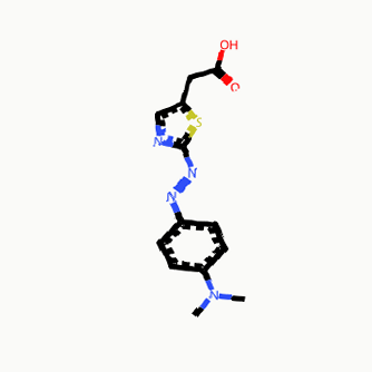 CN(C)c1ccc(N=Nc2ncc(CC(=O)O)s2)cc1